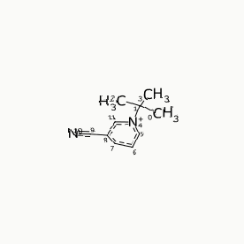 CC(C)(C)[n+]1cccc(C#N)c1